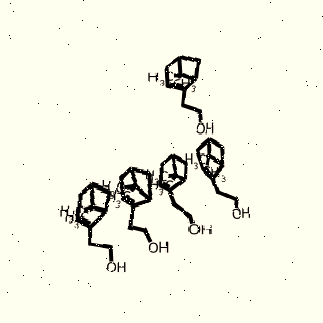 CC1(C)C2CC=C(CCO)C1C2.CC1(C)C2CC=C(CCO)C1C2.CC1(C)C2CC=C(CCO)C1C2.CC1(C)C2CC=C(CCO)C1C2.CC1(C)C2CC=C(CCO)C1C2